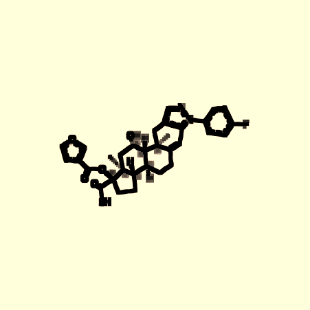 C[C@]12Cc3cnn(-c4ccc(F)cc4)c3C=C1CC[C@@H]1[C@@H]2[C@@H](O)C[C@@]2(C)[C@H]1CC[C@]2(OC(=O)c1ccoc1)C(=O)S